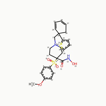 COc1ccc(S(=O)(=O)C2(C(=O)NO)CCN(CC3(c4cccs4)C=CC=CC3)CC2)cc1